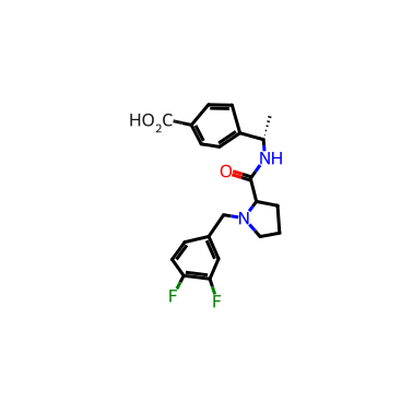 C[C@H](NC(=O)C1CCCN1Cc1ccc(F)c(F)c1)c1ccc(C(=O)O)cc1